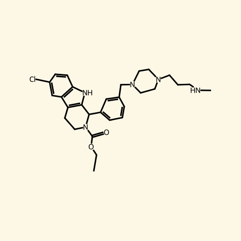 CCOC(=O)N1CCc2c([nH]c3ccc(Cl)cc23)C1c1cccc(CN2CCN(CCCNC)CC2)c1